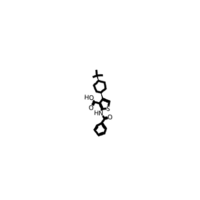 CC(C)(C)[C@H]1CC[C@@H](c2csc(NC(=O)c3ccccc3)c2C(=O)O)CC1